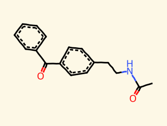 CC(=O)NCCc1ccc(C(=O)c2ccccc2)cc1